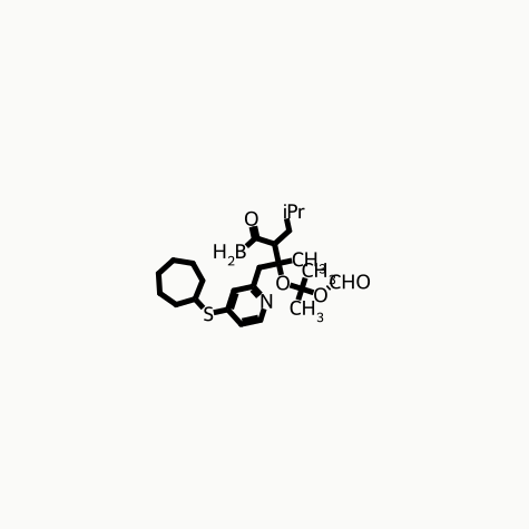 BC(=O)C(CC(C)C)C(C)(Cc1cc(SC2CCCCCC2)ccn1)OC(C)(C)OC=O